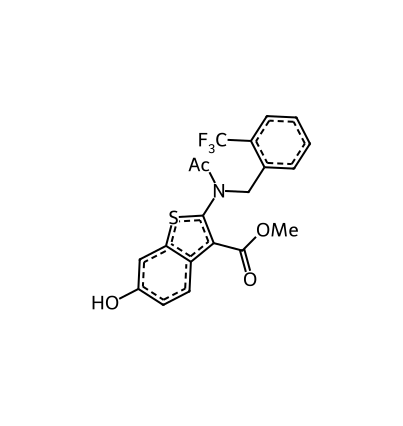 COC(=O)c1c(N(Cc2ccccc2C(F)(F)F)C(C)=O)sc2cc(O)ccc12